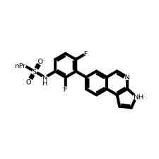 CCCS(=O)(=O)Nc1ccc(F)c(-c2ccc3c(cnc4[nH]ccc43)c2)c1F